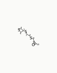 C(CSC1CSC1)SCC1CO1